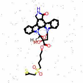 CC12OC(CC1(O)C(=O)OCCCCCS(=O)(=O)CC1CS1)n1c3ccccc3c3c4c(c5c6ccccc6n2c5c31)CNC4=O